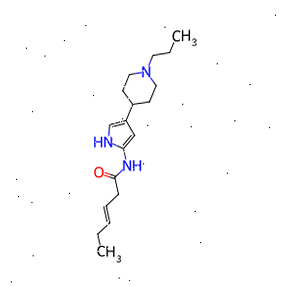 CCC=CCC(=O)Nc1cc(C2CCN(CCC)CC2)c[nH]1